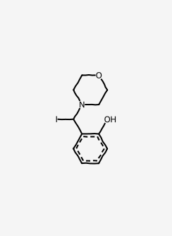 Oc1ccccc1C(I)N1CCOCC1